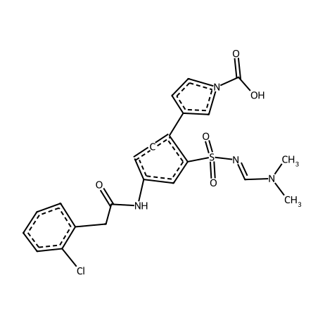 CN(C)C=NS(=O)(=O)c1cc(NC(=O)Cc2ccccc2Cl)ccc1-c1ccn(C(=O)O)c1